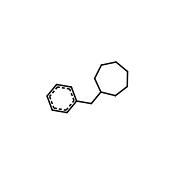 [CH]1CCCCCC1Cc1ccccc1